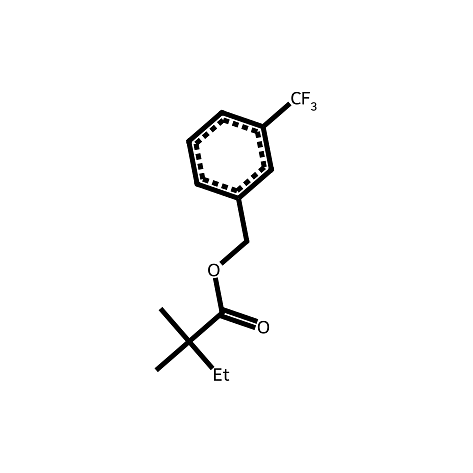 CCC(C)(C)C(=O)OCc1cccc(C(F)(F)F)c1